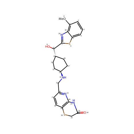 COc1cccc2sc(C(O)[C@H]3CC[C@H](NCc4ccc5c(n4)NC(=O)CS5)CC3)nc12